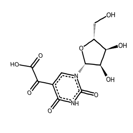 O=C(O)C(=O)c1cn([C@@H]2O[C@H](CO)[C@@H](O)[C@H]2O)c(=O)[nH]c1=O